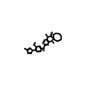 COc1cc(Nc2ncc3c(n2)N(C)C2(CCCCCCC2)C(=O)N3C)ccc1-n1cnc(C)c1